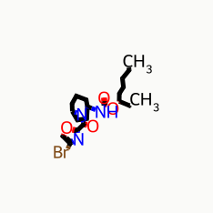 CCCCCC(CC)OC(=O)NC12CCCC(CC1)N2C(=O)c1nc(Br)co1